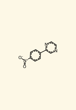 O=[N+]([O-])c1ccc(-c2cnccn2)cc1